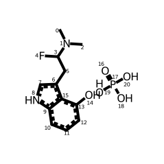 CN(C)C(F)Cc1c[nH]c2cccc(O)c12.O=P(O)(O)O